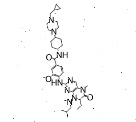 CCC1C(=O)N(C)c2cnc(Nc3ccc(C(=O)N[C@H]4CC[C@H](N5CCN(CC6CC6)CC5)CC4)cc3OC)nc2N1N(C)CC(C)C